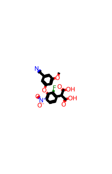 COc1cc(C#N)cc(Oc2c([N+](=O)[O-])ccc(C(C(=O)O)C(=O)O)c2F)c1